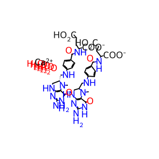 CN1c2c(nc(N)[nH]c2=O)NCC1CNc1ccc(C(=O)NC(CCC(=O)O)C(=O)[O-])cc1.CN1c2c(nc(N)[nH]c2=O)NC[C@@H]1CNc1ccc(C(=O)NC(CCC(=O)O)C(=O)[O-])cc1.O.O.O.O.O.[Ca+2]